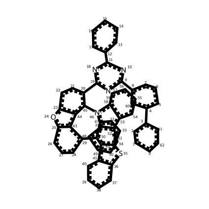 c1ccc(-c2cccc(-c3nc(-c4ccccc4)nc(-c4ccc5oc6cccc(-c7cccc8sc9ccccc9c78)c6c5c4-n4c5ccccc5c5ccccc54)n3)c2)cc1